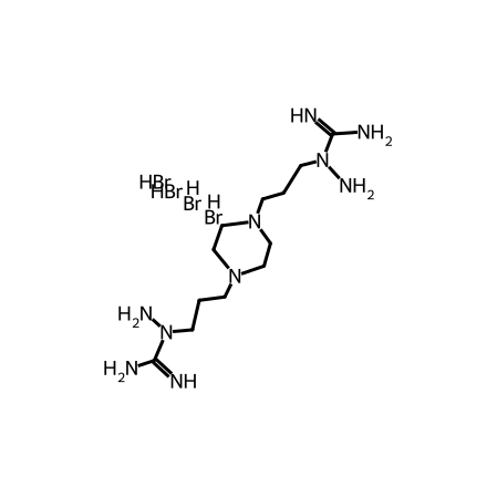 Br.Br.Br.Br.N=C(N)N(N)CCCN1CCN(CCCN(N)C(=N)N)CC1